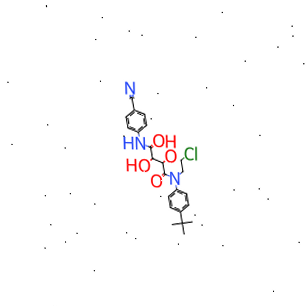 CC(C)(C)c1ccc(N(CCCl)C(=O)[C@H](O)[C@@H](O)C(=O)Nc2ccc(C#N)cc2)cc1